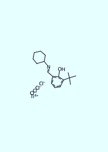 CC(C)(C)c1cccc(C=NC2CCCCC2)c1O.[Cl-].[Cl-].[Cl-].[Cl-].[Ti+4]